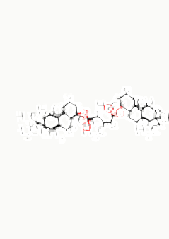 C=CC1(C)C=C2CCC3C(C)(OC(=O)CC(C)CC(=O)OC4(C)CCCC5(C)C6CCC(C)(C(=C)C)C=C6CCC45)CCCC3(C)C2CC1